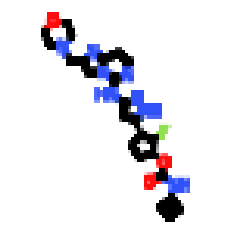 O=C(NC12CC(C1)C2)O[C@@H]1CC[C@H](c2cc(Nc3nccc4nc(CN5CCOCC5)cn34)n[nH]2)[C@H]1F